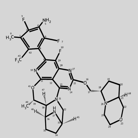 Cc1c(F)c(N)c(F)c(-c2nc3c4c(nc(OC[C@@H]5CC[C@H]6COCCN65)nc4c2F)N2C[C@H]4CC[C@H](N4)[C@H]2[C@H](C)O3)c1C(F)(F)F